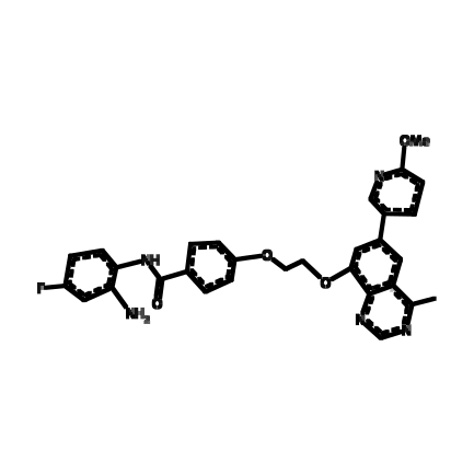 COc1ccc(-c2cc(OCCOc3ccc(C(=O)Nc4ccc(F)cc4N)cc3)c3ncnc(C)c3c2)cn1